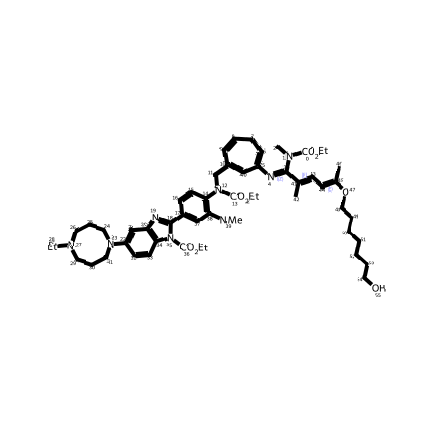 CCOC(=O)N(C)C(=N\C1=CCC=CC(CN(C(=O)OCC)c2ccc(-c3nc4cc(N5CCCN(CC)CCC5)ccc4n3C(=O)OCC)cc2NC)=C1)/C(C)=C/C=C(\C)OCCCCCCCO